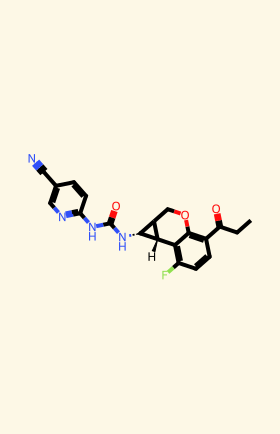 CCC(=O)c1ccc(F)c2c1OCC1[C@@H](NC(=O)Nc3ccc(C#N)cn3)[C@@H]21